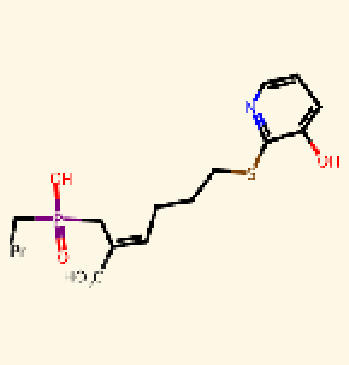 CC(C)CP(=O)(O)C/C(=C\CCCSc1ncccc1O)C(=O)O